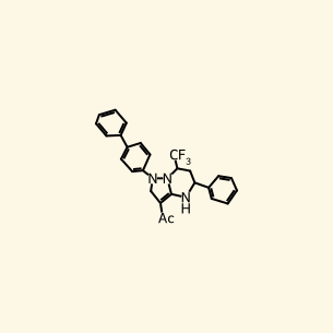 CC(=O)C1=C2NC(c3ccccc3)CC(C(F)(F)F)N2N(c2ccc(-c3ccccc3)cc2)C1